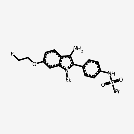 CCn1c(-c2ccc(NS(=O)(=O)C(C)C)cc2)c(N)c2ccc(OCCF)cc21